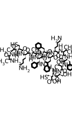 CC(C)[C@H](NC(=O)[C@H](CCCCN)NC(=O)[C@@H](Cc1c[nH]c2ccccc12)NC(=O)[C@H](Cc1ccccc1)NC(=O)[C@H](Cc1ccccc1)NC(=O)[C@H](C)NC(=O)[C@H](CCCCN)NC(=O)[C@H](CS)NC(=O)[C@@H](C)NC(=O)[C@H](C)N)C(=O)N[C@H](Cc1ccccc1)C(=O)N[C@H](C(=O)N[C@@H](CO)C(=O)N[C@@H](CS)C(=O)O)C(C)O